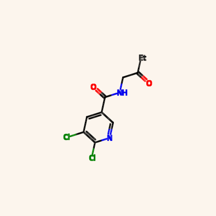 CCC(=O)CNC(=O)c1cnc(Cl)c(Cl)c1